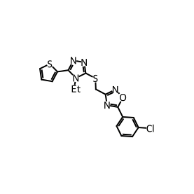 CCn1c(SCc2noc(-c3cccc(Cl)c3)n2)nnc1-c1cccs1